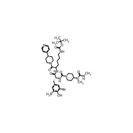 Bc1cc(C[C@@H](NC(=O)N2CCC(N(C)C(=O)NC)CC2)C(=O)NC(CCCCNC(=O)OC(C)(C)C)C(=O)N2CCC(c3ccncc3)CC2)cc(Br)c1O